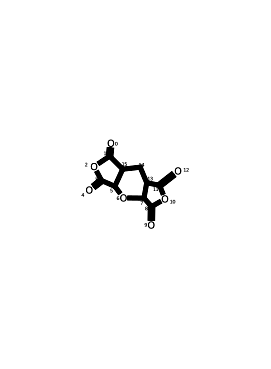 O=C1OC(=O)C2OC3C(=O)OC(=O)C3CC12